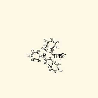 C1=C2[CH]([Ti+2][CH]3C(=Cc4ccccc43)P2c2ccccc2)c2ccccc21.[F-].[F-]